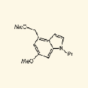 COCc1cc(OC)cc2c1ccn2C(C)C